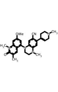 COc1cc(N2CCN(C)c3cc(C4=CCN(C)CC4)c(C#N)cc32)c2cc(C)c(=O)n(C)c2c1